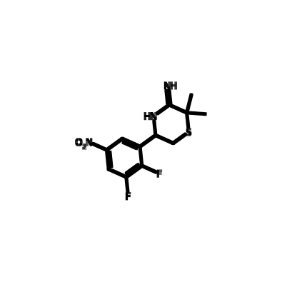 CC1(C)SCC(c2cc([N+](=O)[O-])cc(F)c2F)NC1=N